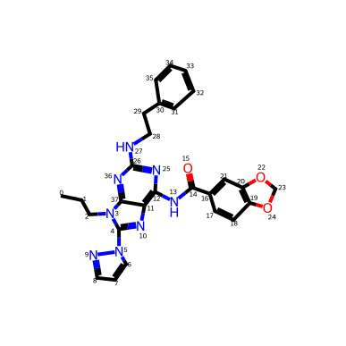 CCCn1c(-n2cccn2)nc2c(NC(=O)c3ccc4c(c3)OCO4)nc(NCCc3ccccc3)nc21